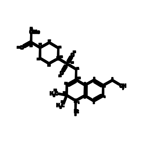 CCN1c2ccc(CO)cc2C(CS(=O)(=O)N2CCC(C(=O)OC)CC2)=CC1(C)C